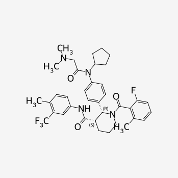 Cc1ccc(NC(=O)[C@H]2CCCN(C(=O)c3c(C)cccc3F)[C@H]2c2ccc(N(C(=O)CN(C)C)C3CCCC3)cc2)cc1C(F)(F)F